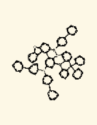 c1ccc(-c2ccc(N3B4c5cccc6c5N(c5ccccc5C6(c5ccccc5)c5ccccc5)c5cc(N(c6ccc(-c7ccccc7)cc6)c6ccc(-c7ccccc7)cc6)cc(c54)-c4c3ccc3oc5ccccc5c43)cc2)cc1